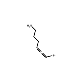 CCCN=C=NCCCN